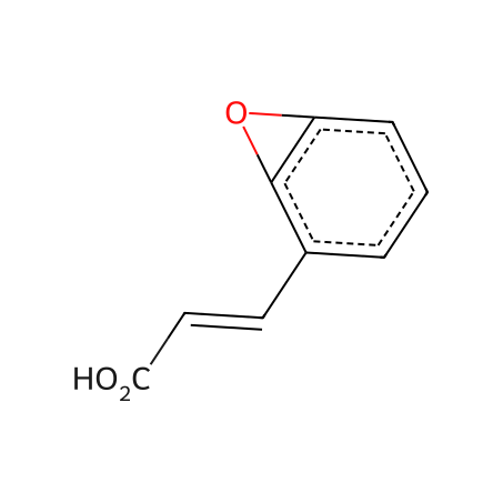 O=C(O)C=Cc1cccc2c1O2